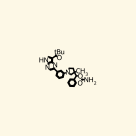 CC(C)(C)C(=O)c1c[nH]c2ncc(-c3cccc(N4CCC(C)(C(OC(N)=O)c5ccccc5)C4)c3)nc12